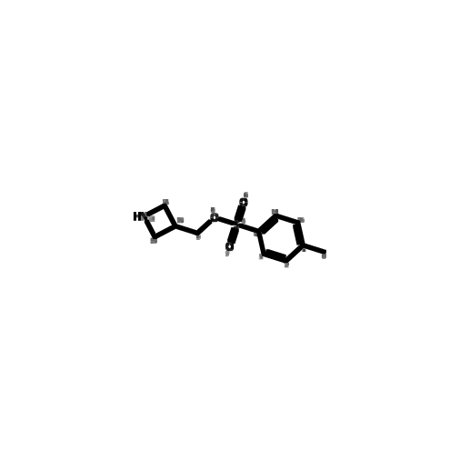 Cc1ccc(S(=O)(=O)OCC2CNC2)cc1